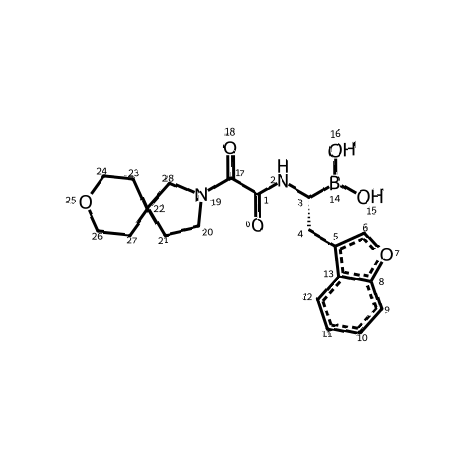 O=C(N[C@@H](Cc1coc2ccccc12)B(O)O)C(=O)N1CCC2(CCOCC2)C1